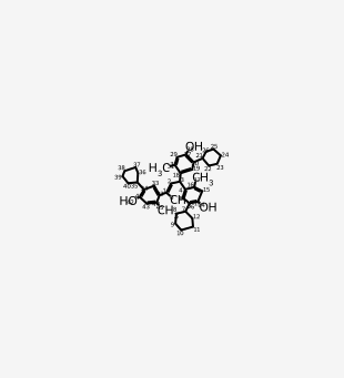 CC(=CC(c1cc(C2CCCCC2)c(O)cc1C)c1cc(C2CCCCC2)c(O)cc1C)c1cc(C2CCCCC2)c(O)cc1C